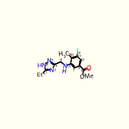 CCc1nc(CNc2cc(C(=O)OC)cc(F)c2C)n[nH]1